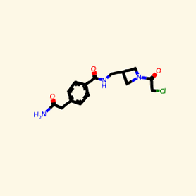 NC(=O)Cc1ccc(C(=O)NCC2CN(C(=O)CCl)C2)cc1